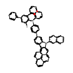 Fc1cc(-c2ccccc2)cc(-c2ccccc2)c1N(c1ccccc1)c1ccc(-c2ccc3c4c5ccc6cccc7ccc(cc4n(-c4ccc8ccccc8c4)c3c2)c5c76)cc1